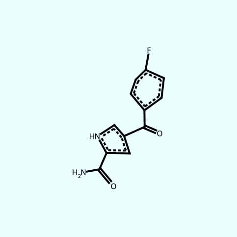 NC(=O)c1cc(C(=O)c2ccc(F)cc2)c[nH]1